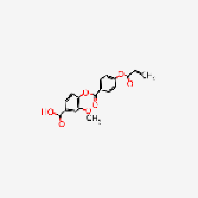 C=CC(=O)Oc1ccc(C(=O)Oc2ccc(C(=O)O)cc2OC)cc1